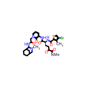 CNC(=O)C(=O)CC[C@H](NC(=O)c1scc(Br)c1C)C(=O)Nc1cccn(CC(=O)NC2C3CCCC(C3)CN2C)c1=O